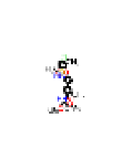 COC(=O)C(COC(C)(C)C)NC(=O)c1ccc(-c2cccc(NS(=O)(=O)c3cc(C)c(Cl)cc3C)c2)cc1C